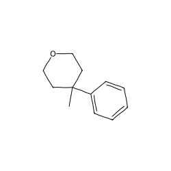 CC1(c2ccccc2)CCOCC1